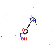 Cn1cncc1C#Cc1ccc(/C=N\O)o1